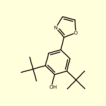 CC(C)(C)c1cc(-c2ncco2)cc(C(C)(C)C)c1O